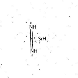 N=[N+]=N.[SrH2]